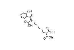 O=C(O)C(CCCCCCN(C(=O)O)C(=O)c1ccccc1O)C(=O)O